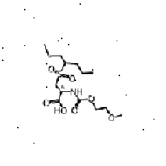 CCCC(CCC)S(=O)(=O)C[C@@H](NC(=O)OCCOC)C(=O)O